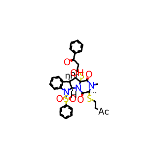 CCC[C@@]12c3ccccc3N(S(=O)(=O)c3ccccc3)[C@@H]1N1C(=O)[C@](C)(SCCC(C)=O)N(C)C(=O)[C@@]1(SCCC(=O)c1ccccc1)[C@H]2O